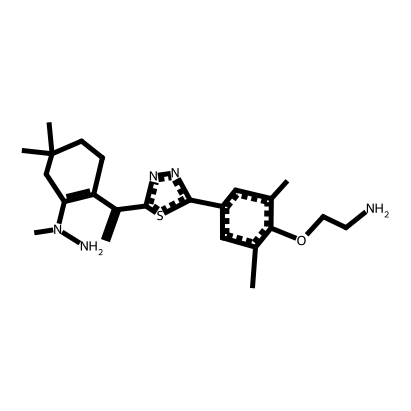 C=C(C1=C(N(C)N)CC(C)(C)CC1)c1nnc(-c2cc(C)c(OCCN)c(C)c2)s1